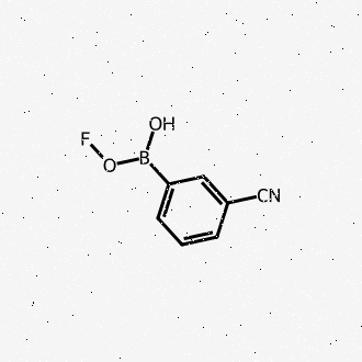 N#Cc1cccc(B(O)OF)c1